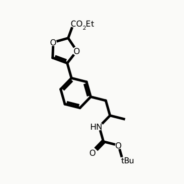 CCOC(=O)C1OC=C(c2cccc(CC(C)NC(=O)OC(C)(C)C)c2)O1